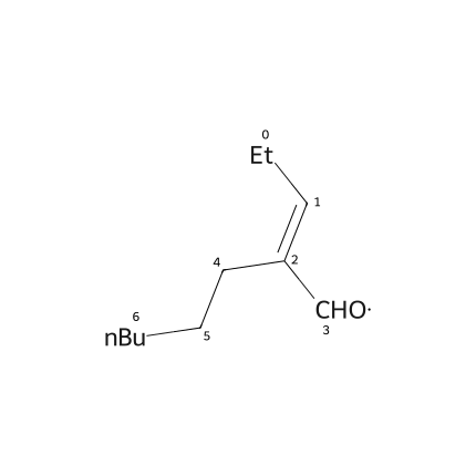 CCC=C([C]=O)CCCCCC